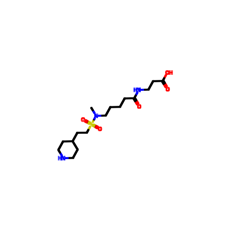 CN(CCCCC(=O)NCCC(=O)O)S(=O)(=O)CCC1CCNCC1